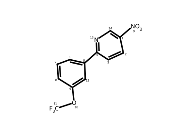 O=[N+]([O-])c1ccc(-c2cccc(OC(F)(F)F)c2)nc1